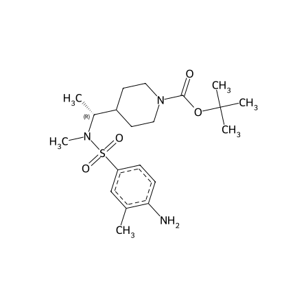 Cc1cc(S(=O)(=O)N(C)[C@H](C)C2CCN(C(=O)OC(C)(C)C)CC2)ccc1N